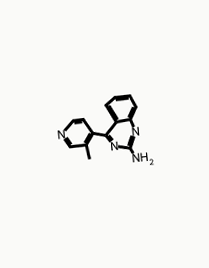 Cc1cnccc1-c1nc(N)nc2ccccc12